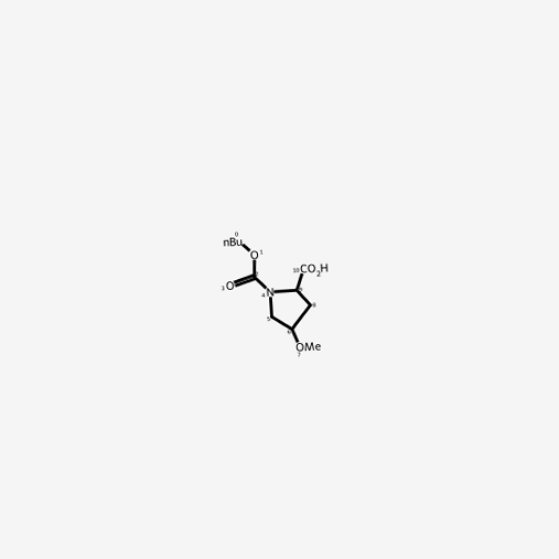 CCCCOC(=O)N1CC(OC)CC1C(=O)O